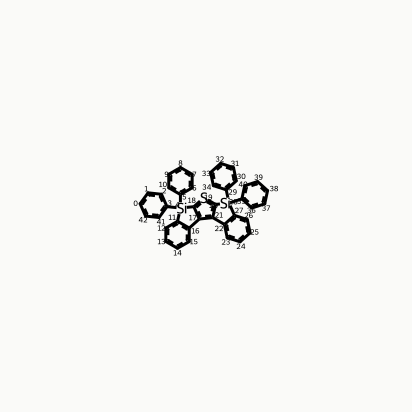 c1ccc([Si]2(c3ccccc3)c3ccccc3-c3c2sc2c3-c3ccccc3[Si]2(c2ccccc2)c2ccccc2)cc1